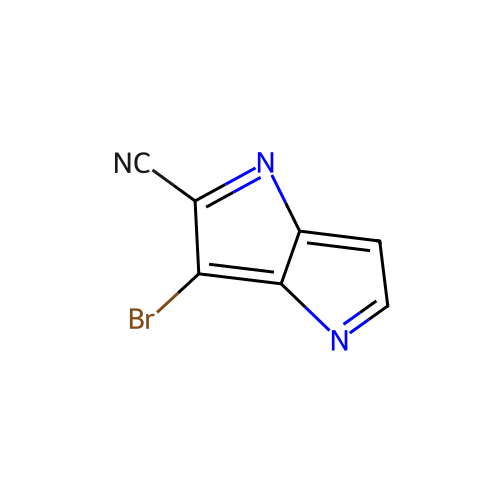 N#CC1=NC2=CC=NC2=C1Br